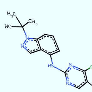 CC(C)(C#N)n1ncc2c(Nc3ncc(C(F)(F)F)c(Cl)n3)cccc21